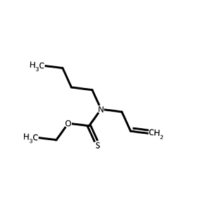 C=CCN(CCCC)C(=S)OCC